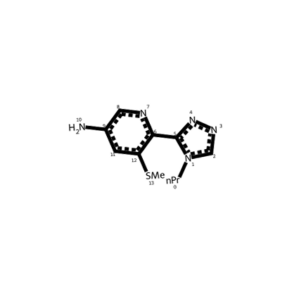 CCCn1cnnc1-c1ncc(N)cc1SC